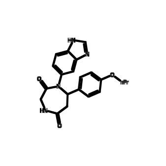 CCCOc1ccc(C2CC(=O)NCC(=O)N2c2ccc3[nH]cnc3c2)cc1